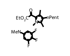 CCCCCc1c(C)c(C(=O)C(=O)OCC)n(C)c1C.CNc1cc(F)c(F)c(F)c1